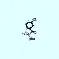 CC(C)(C)N(C(=O)c1cccc(C#N)c1)C(C)(C)C